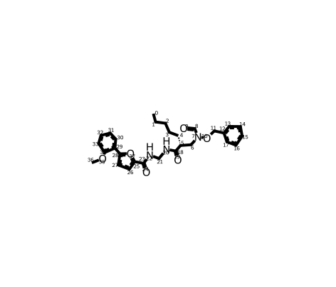 CCCCC[C@H](CN(C=O)OCc1ccccc1)C(=O)NCNC(=O)c1ccc(-c2ccccc2OC)o1